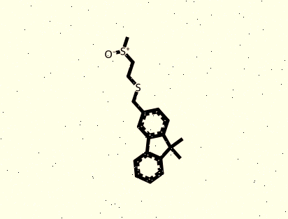 C[S+]([O-])CCSCc1ccc2c(c1)-c1ccccc1C2(C)C